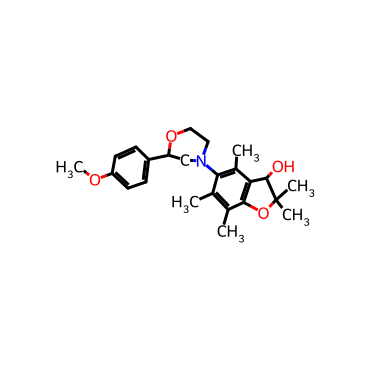 COc1ccc(C2CN(c3c(C)c(C)c4c(c3C)C(O)C(C)(C)O4)CCO2)cc1